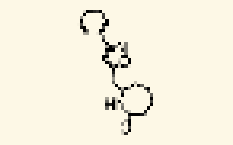 O=C1CCCCC(Cc2cc(C3=CCCC=C3)no2)N1